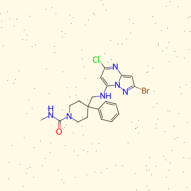 CNC(=O)N1CCC(CNc2cc(Cl)nc3cc(Br)nn23)(c2ccccc2)CC1